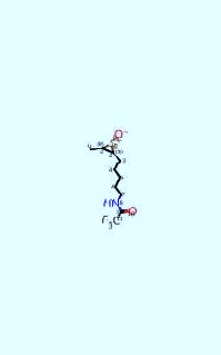 C[C@@H]1[C@H](CCCCCNC(=O)C(F)(F)F)[S+]1[O-]